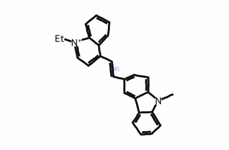 CC[n+]1ccc(/C=C/c2ccc3c(c2)c2ccccc2n3C)c2ccccc21